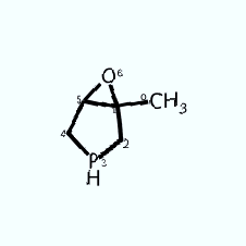 CC12CPCC1O2